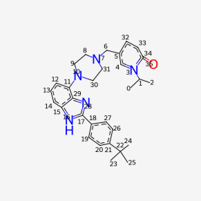 CC(C)n1cc(CN2CCN(c3cccc4[nH]c(-c5ccc(C(C)(C)C)cc5)nc34)CC2)ccc1=O